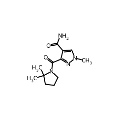 Cn1cc(C(N)=O)c(C(=O)N2CCCC2(C)C)n1